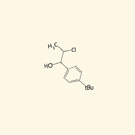 CC(Cl)C(O)c1ccc(C(C)(C)C)cc1